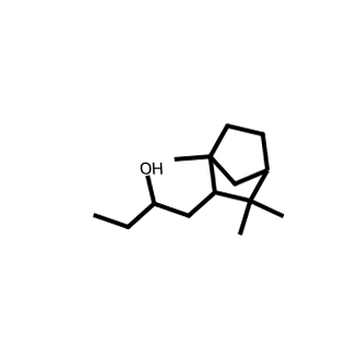 CCC(O)CC1C2(C)CCC(C2)C1(C)C